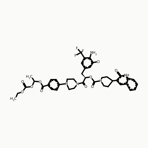 CCOC(=O)OC(C)OC(=O)c1ccc(N2CCN(C(=O)[C@@H](Cc3cc(Cl)c(N)c(C(F)(F)F)c3)OC(=O)N3CCC(c4cc5ccccc5[nH]c4=O)CC3)CC2)cc1